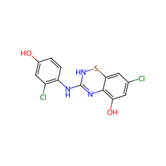 Oc1ccc(NC2=Nc3c(O)cc(Cl)cc3SN2)c(Cl)c1